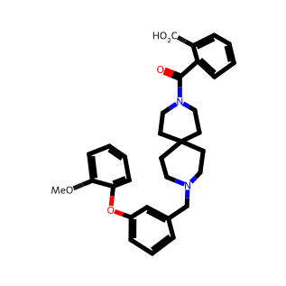 COc1ccccc1Oc1cccc(CN2CCC3(CC2)CCN(C(=O)c2ccccc2C(=O)O)CC3)c1